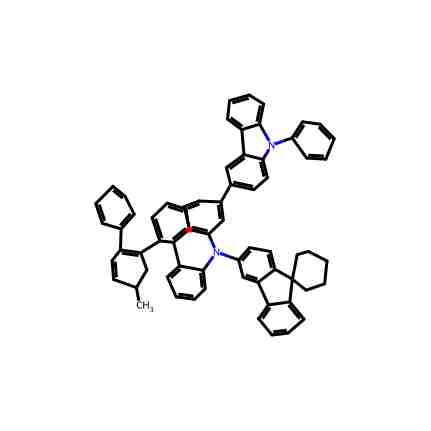 CC1C=CC(c2ccccc2)=C(c2ccccc2-c2ccccc2N(c2cccc(-c3ccc4c(c3)c3ccccc3n4-c3ccccc3)c2)c2ccc3c(c2)-c2ccccc2C32CCCCC2)C1